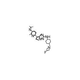 CC(C)=Nc1ccc(-c2ccn3nc(NC4CCC(CN5CC(F)C5)CC4)ncc23)nc1C